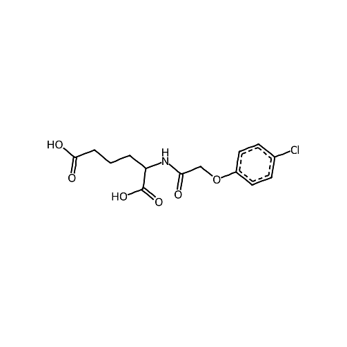 O=C(O)CCCC(NC(=O)COc1ccc(Cl)cc1)C(=O)O